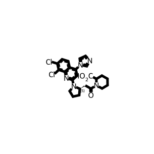 O=C(O)C1CCCCN1C(=O)C[C@@H]1CCCN1c1cc(-n2ccnc2)c2ccc(Cl)c(Cl)c2n1